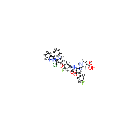 CN1CCC(C(=O)O)CC1n1cc(C(=O)Nc2ccc(Oc3ccnc(NC(c4ccccc4)c4ccccc4)c3Cl)c(F)c2)c(=O)c(-c2ccc(F)cc2)c1